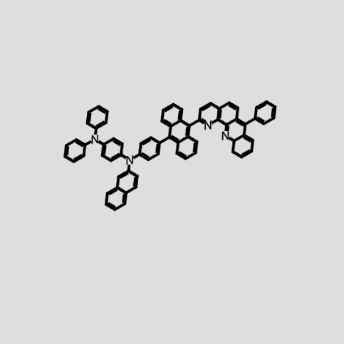 C1=CCC2N=c3c(ccc4ccc(-c5c6ccccc6c(-c6ccc(N(c7ccc(N(c8ccccc8)c8ccccc8)cc7)c7ccc8ccccc8c7)cc6)c6ccccc56)nc34)=C(c3ccccc3)C2=C1